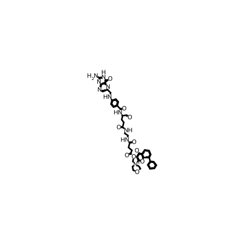 Nc1nc2ncc(CNc3ccc(C(=O)NC(C=O)CCC(=O)NCCNC(=O)CCC(=O)OC[N+]4(c5cc(=O)c6cccc(-c7ccccc7)c6o5)CCOCC4)cc3)nc2c(=O)[nH]1